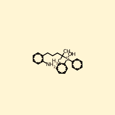 CC(C)(CCCc1ccccc1N)[Si](O)(c1ccccc1)c1ccccc1